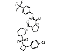 O=C(NCc1ccc(C(F)(F)F)cc1)[C@H]1CCCN1C(=O)[C@H]1CCCN(S(=O)(=O)N2CCC2c2ccc(Cl)cc2)C1